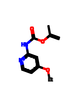 C=C(C)OC(=O)Nc1cc(OCC)ccn1